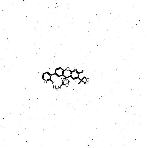 CC1(c2cc3c(nc2F)Oc2ccc(-c4cccnc4F)cc2[C@@]32COC(N)=N2)COC1